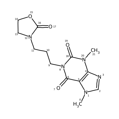 Cn1cnc2c1c(=O)n(CCCN1CCOC1=O)c(=O)n2C